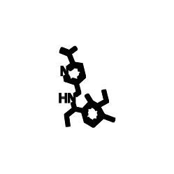 C=C(C)c1ccc(CNC(CC)c2ccc(C)c(CC)c2C)cn1